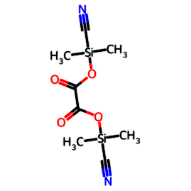 C[Si](C)(C#N)OC(=O)C(=O)O[Si](C)(C)C#N